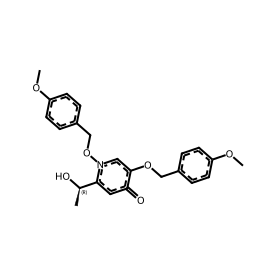 COc1ccc(COc2cn(OCc3ccc(OC)cc3)c([C@@H](C)O)cc2=O)cc1